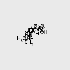 CC(C)Nc1ncc2ccc(C(=O)N[C@@H]3COC[C@H]3O)cc2n1